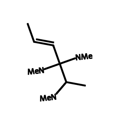 CC=CC(NC)(NC)C(C)NC